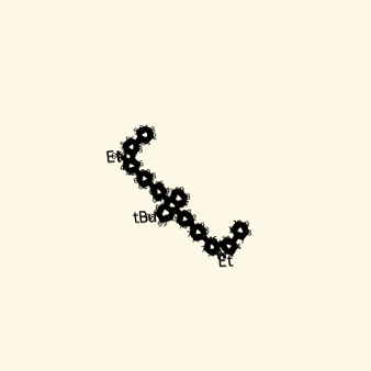 CCn1c2ccc(-c3ccccc3)cc2c2cc(-c3ccc(-c4ccc(-c5c6ccccc6c(-c6ccc(-c7ccc(-c8ccc9c(c8)c8cc(-c%10ccccc%10)ccc8n9CC)cc7)cc6)c6cc(C(C)(C)C)ccc56)cc4)cc3)ccc21